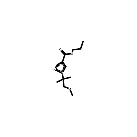 CCCOC(=O)c1cnn(C(C)(C)COC)c1